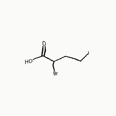 O=C(O)C(Br)CCI